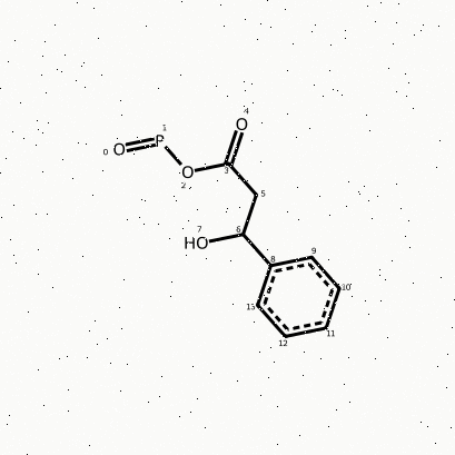 O=POC(=O)CC(O)c1ccccc1